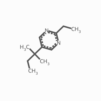 CCc1ncc(C(C)(C)CC)cn1